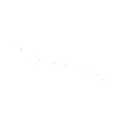 CNCCSSCOCCCCOC(=O)NCC#CC(C)C